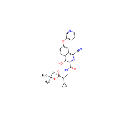 CC(C)(C)OC(=O)C(CNC(=O)c1nc(C#N)c2cc(Oc3cccnc3)ccc2c1O)C1CC1